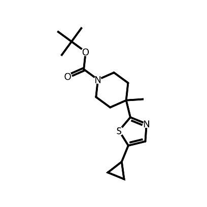 CC(C)(C)OC(=O)N1CCC(C)(c2ncc(C3CC3)s2)CC1